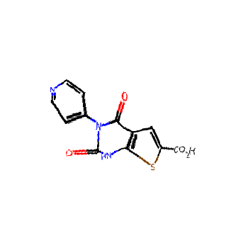 O=C(O)c1cc2c(=O)n(-c3ccncc3)c(=O)[nH]c2s1